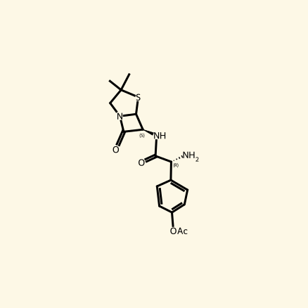 CC(=O)Oc1ccc([C@@H](N)C(=O)N[C@H]2C(=O)N3CC(C)(C)SC23)cc1